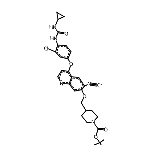 [C-]#[N+]c1cc2c(Oc3ccc(NC(=O)NC4CC4)c(Cl)c3)ccnc2cc1OCC1CCN(C(=O)OC(C)(C)C)CC1